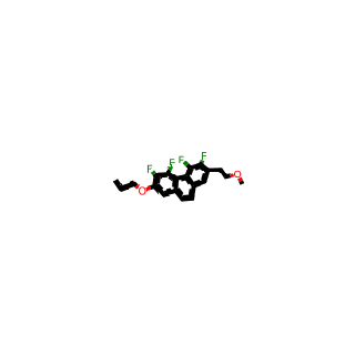 C/C=C/Oc1cc2ccc3cc(CCOC)c(F)c(F)c3c2c(F)c1F